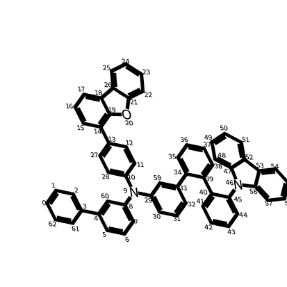 c1ccc(-c2cccc(N(c3ccc(-c4cccc5c4oc4ccccc45)cc3)c3cccc(-c4ccccc4-c4ccccc4-n4c5ccccc5c5ccccc54)c3)c2)cc1